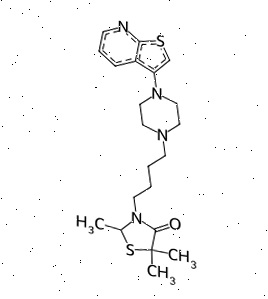 CC1SC(C)(C)C(=O)N1CCCCN1CCN(c2csc3ncccc23)CC1